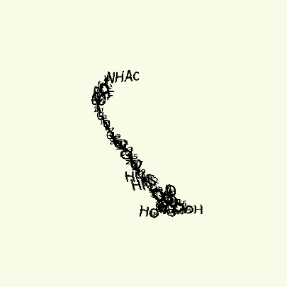 CC(=O)NCc1cc(F)c(OC(=O)CCOCCOCCOCCOCCOCCOCCNC(=S)Nc2ccc3c(c2)C(=O)OC32c3ccc(O)cc3Oc3cc(O)ccc32)c(F)c1